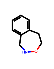 c1ccc2c(c1)CCONC2